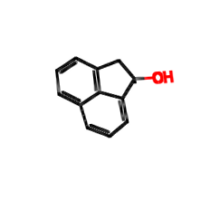 O[C]1Cc2cccc3cccc1c23